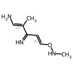 CNO/C=C/C(=N)/C(C)=C/N